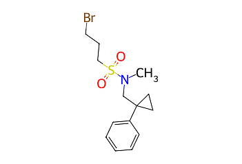 CN(CC1(c2ccccc2)CC1)S(=O)(=O)CCCBr